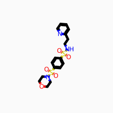 O=S(=O)(NCCc1ccccn1)c1ccc(S(=O)(=O)N2CCOCC2)cc1